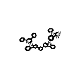 c1ccc(-c2cc(-c3ccccc3)nc(-n3c4ccccc4c4cc(-c5cccc(-c6ccc7c(c6)c6ccccc6n7-c6ccc7c(c6)c6ncncc6n7-c6ccccc6)c5)ccc43)c2)cc1